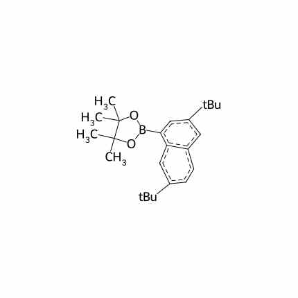 CC(C)(C)c1cc(B2OC(C)(C)C(C)(C)O2)c2cc(C(C)(C)C)ccc2c1